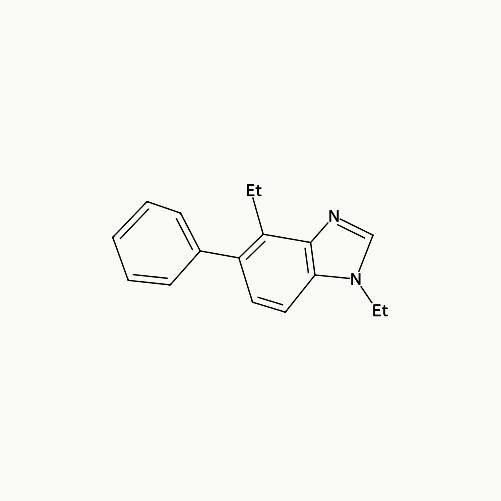 CCc1c(-c2ccccc2)ccc2c1ncn2CC